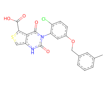 Cc1cccc(COc2ccc(Cl)c(-n3c(=O)[nH]c4csc(C(=O)O)c4c3=O)c2)c1